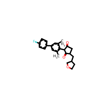 Cc1cc(-c2ccc(F)cc2)cc(C)c1C1C(=O)CC(CC2CCOC2)C1=O